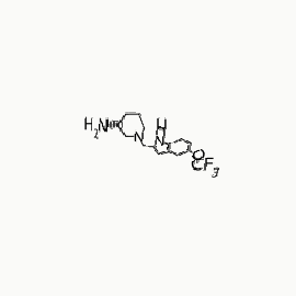 N[C@@H]1CCCN(Cc2cc3cc(OC(F)(F)F)ccc3[nH]2)C1